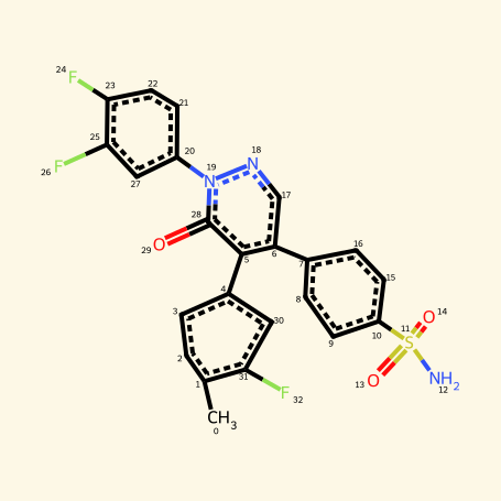 Cc1ccc(-c2c(-c3ccc(S(N)(=O)=O)cc3)cnn(-c3ccc(F)c(F)c3)c2=O)cc1F